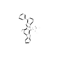 CCCC1=Cc2c(-c3ccccc3)cccc2[CH]1[Zr]([Cl])([Cl])([c]1cccc2c1Cc1ccccc1-2)[SiH](C)C